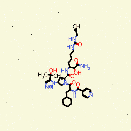 C#CCNC(=O)NCCCCC(NC(=O)[C@@H]1C[C@H](n2nncc2C(C)(C)O)CN1C(=O)C(CC1CCCCC1)NC(=O)c1ccncc1)C(O)C(N)=O